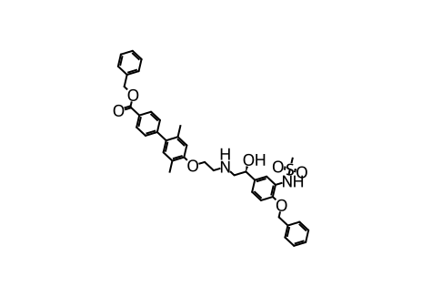 Cc1cc(-c2ccc(C(=O)OCc3ccccc3)cc2)c(C)cc1OCCNC[C@@H](O)c1ccc(OCc2ccccc2)c(NS(C)(=O)=O)c1